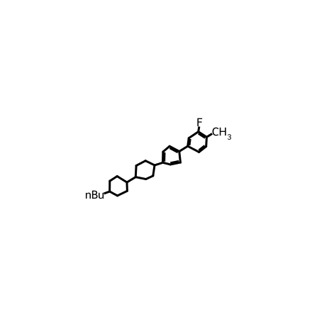 CCCCC1CCC(C2CCC(c3ccc(-c4ccc(C)c(F)c4)cc3)CC2)CC1